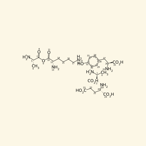 C[C@H](N)C(=O)O.C[C@H](N)C(=O)OC(=O)[C@@H](N)CCCCN.N[C@@H](CCC(=O)O)C(=O)O.N[C@@H](Cc1ccc(O)cc1)C(=O)O